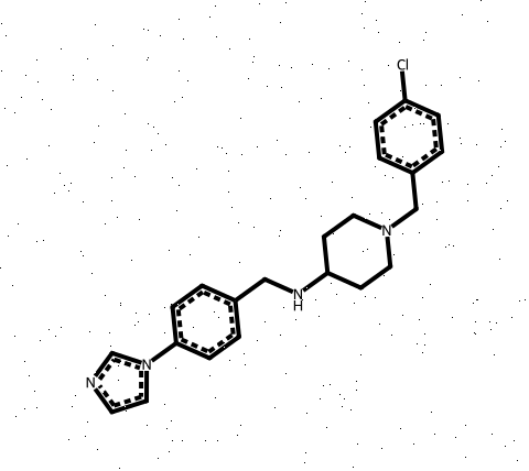 Clc1ccc(CN2CCC(NCc3ccc(-n4ccnc4)cc3)CC2)cc1